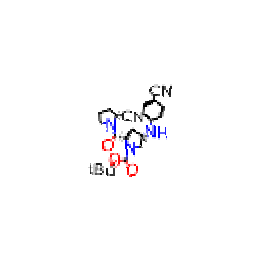 CC(C)(C)OC(=O)N1C[C@@H](Nc2ccc(C#N)cc2)C[C@H]1C(=O)N1CCC[C@H]1C#N